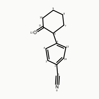 N#Cc1ccc(C2CCCCC2=O)cc1